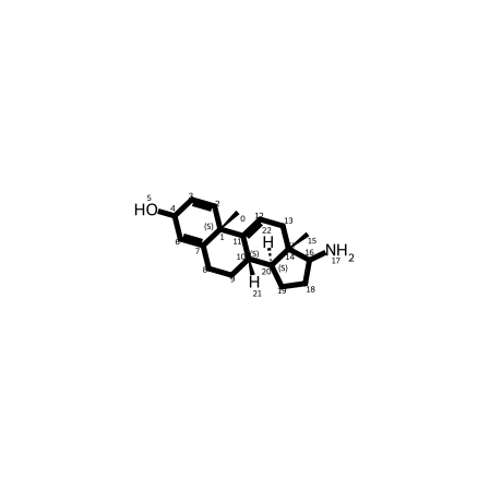 C[C@]12C=CC(O)C=C1CC[C@@H]1C2=CC[C@]2(C)C(N)CC[C@@H]12